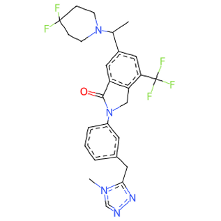 CC(c1cc2c(c(C(F)(F)F)c1)CN(c1cccc(Cc3nncn3C)c1)C2=O)N1CCC(F)(F)CC1